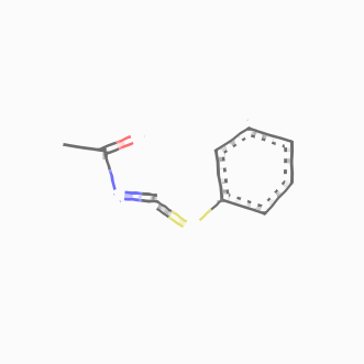 CC(=O)N=C=[SH]c1ccccc1